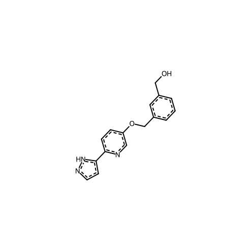 OCc1cccc(COc2ccc(-c3ccn[nH]3)nc2)c1